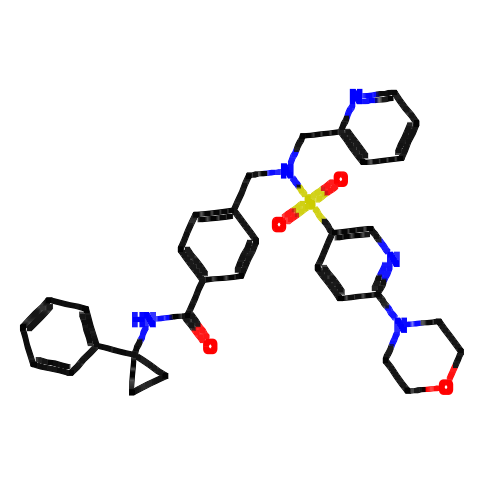 O=C(NC1(c2ccccc2)CC1)c1ccc(CN(Cc2ccccn2)S(=O)(=O)c2ccc(N3CCOCC3)nc2)cc1